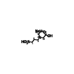 O=S(=O)(O)CCCN1CCOC(O)C1.[NaH]